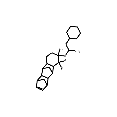 CC(OC1CCCCC1)OC1(C(F)(F)F)OCC2C3CC(C4C5C=CC(C5)C34)C2C1(F)F